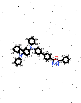 c1ccc(-c2nnc(-c3ccc(-c4ccc(N(c5ccccc5)c5ccc6c(c5)c5ccccc5n6-c5ccccc5)cc4)cc3)o2)cc1